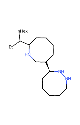 CCCCCCC(CC)C1CCCCC([C@@H]2CCCCCNN2)CN1